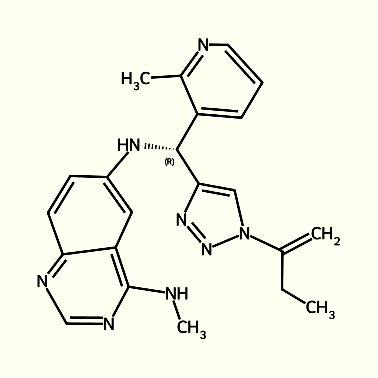 C=C(CC)n1cc([C@H](Nc2ccc3ncnc(NC)c3c2)c2cccnc2C)nn1